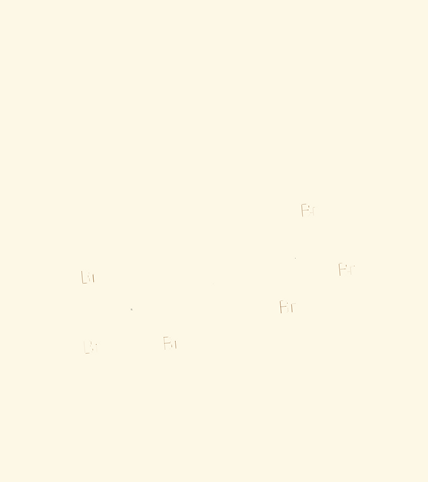 [CH]c1cc(C(Br)(Br)Br)cc(C(Br)(Br)Br)c1